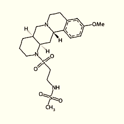 COc1ccc2c(c1)CCN1C[C@@H]3CCCN(S(=O)(=O)CCNS(C)(=O)=O)[C@@H]3C[C@@H]21